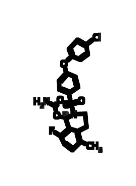 Cc1ccc(F)c2c1CCN(S(=O)(=O)c1ccc(Oc3ccc(Cl)cc3)cc1)[C@@H]2OC(N)=O